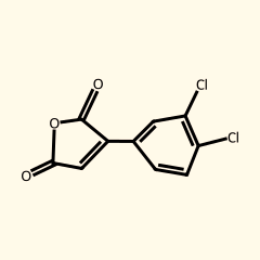 O=C1C=C(c2ccc(Cl)c(Cl)c2)C(=O)O1